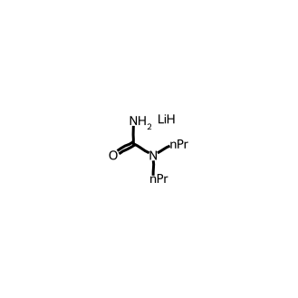 CCCN(CCC)C(N)=O.[LiH]